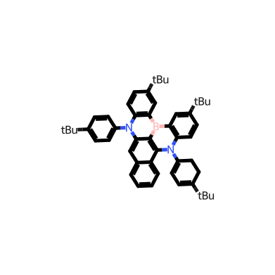 CC(C)(C)C1=CC=C(N2c3ccc(C(C)(C)C)cc3B3c4cc(C(C)(C)C)ccc4N(c4ccc(C(C)(C)C)cc4)c4cc5ccccc5c2c43)CC1